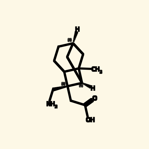 CC12C[C@@H]3CCC1[C@@](CN)(CC(=O)O)[C@H]2C3